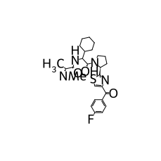 CN[C@@H](C)C(=O)NC(C1CCCCC1)[C@H](O)N1CCC[C@H]1c1nc(C(=O)c2ccc(F)cc2)cs1